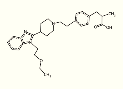 CCOCCn1c(C2CCN(CCc3ccc(CC(C)C(=O)O)cc3)CC2)nc2ccccc21